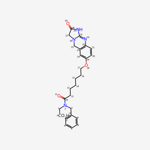 O=C(O)CN(Cc1ccccc1)C(=O)CCCCCCOc1ccc2c(c1)CN1CC(=O)NC1=N2